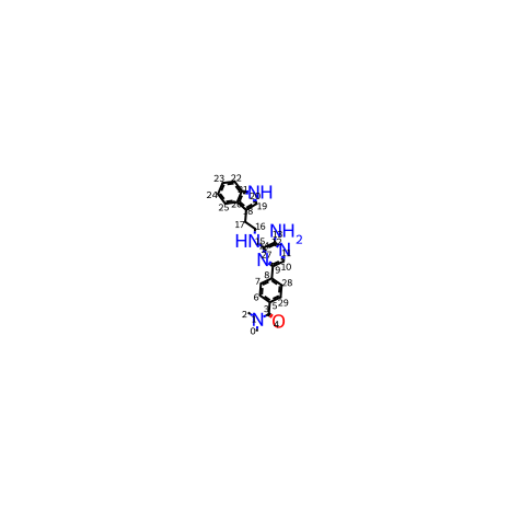 CN(C)C(=O)c1ccc(-c2cnc(N)c(NCCc3c[nH]c4ccccc34)n2)cc1